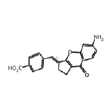 Nc1ccc2c(=O)c3c(oc2c1)/C(=C/c1ccc(C(=O)O)cc1)CC3